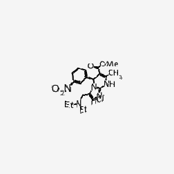 CCN(CC)Cc1cnc2n1C(c1cccc([N+](=O)[O-])c1)C(C(=O)OC)=C(C)N2.Cl